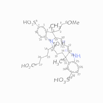 COCCC1(C)c2cc(S(=O)(=O)O)ccc2N(CCCCCC(=O)O)C1/C=C/C=C1/Nc2ccc(S(=O)(=O)O)cc2C1(C)CCCS(=O)(=O)O